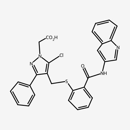 O=C(O)Cn1nc(-c2ccccc2)c(CSc2ccccc2C(=O)Nc2cnc3ccccc3c2)c1Cl